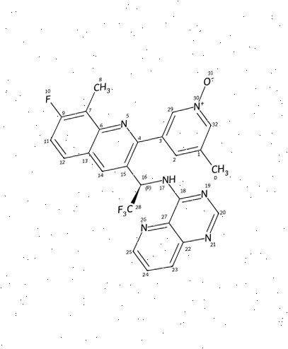 Cc1cc(-c2nc3c(C)c(F)ccc3cc2[C@@H](Nc2ncnc3cccnc23)C(F)(F)F)c[n+]([O-])c1